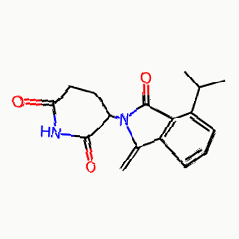 C=C1c2cccc(C(C)C)c2C(=O)N1C1CCC(=O)NC1=O